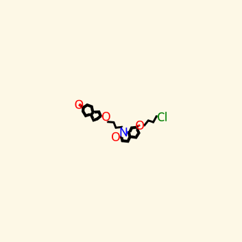 O=c1ccc2ccc(OCCCCn3c(=O)ccc4ccc(OCCCCCl)cc43)cc2cc1